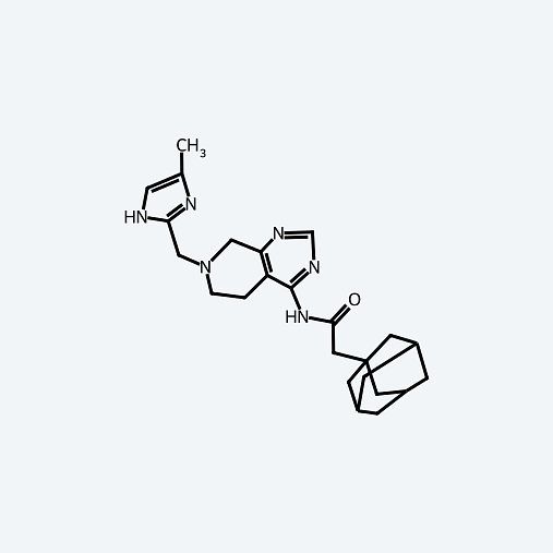 Cc1c[nH]c(CN2CCc3c(ncnc3NC(=O)CC34CC5CC(CC(C5)C3)C4)C2)n1